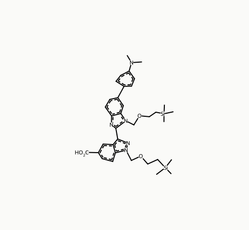 CN(C)c1ccc(-c2ccc3nc(-c4nn(COCC[Si](C)(C)C)c5ccc(C(=O)O)cc45)n(COCC[Si](C)(C)C)c3c2)cc1